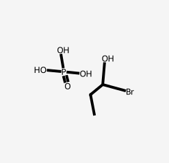 CCC(O)Br.O=P(O)(O)O